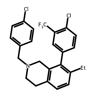 CCc1ccc2c(c1-c1ccc(Cl)c(C(F)(F)F)c1)CN(Cc1ccc(Cl)cc1)CC2